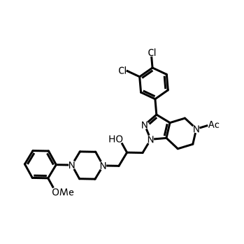 COc1ccccc1N1CCN(CC(O)Cn2nc(-c3ccc(Cl)c(Cl)c3)c3c2CCN(C(C)=O)C3)CC1